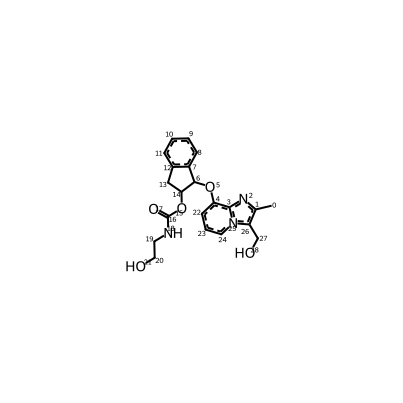 Cc1nc2c(OC3c4ccccc4CC3OC(=O)NCCO)cccn2c1CO